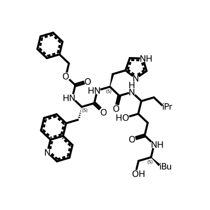 CCC(C)[C@@H](CO)NC(=O)CC(O)C(CC(C)C)NC(=O)[C@H](Cc1c[nH]cn1)NC(=O)[C@H](Cc1cccc2ncccc12)NC(=O)OCc1ccccc1